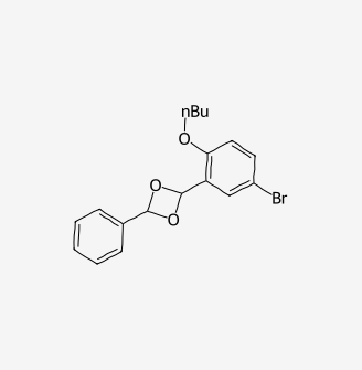 CCCCOc1ccc(Br)cc1C1OC(c2ccccc2)O1